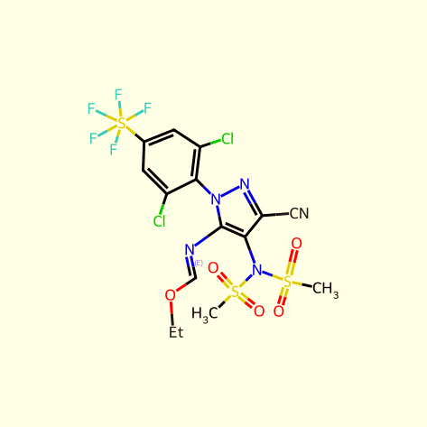 CCO/C=N/c1c(N(S(C)(=O)=O)S(C)(=O)=O)c(C#N)nn1-c1c(Cl)cc(S(F)(F)(F)(F)F)cc1Cl